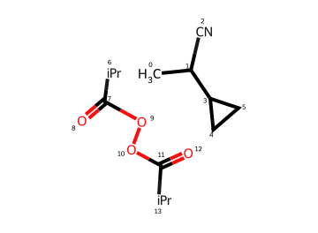 CC(C#N)C1CC1.CC(C)C(=O)OOC(=O)C(C)C